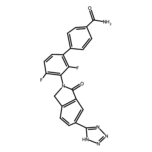 NC(=O)c1ccc(-c2ccc(F)c(N3Cc4ccc(-c5nnn[nH]5)cc4C3=O)c2F)cc1